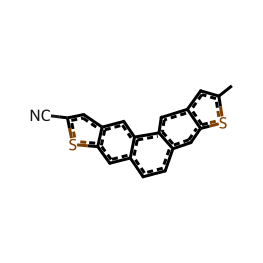 Cc1cc2cc3c(ccc4cc5sc(C#N)cc5cc43)cc2s1